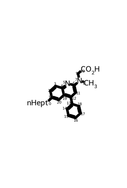 CCCCCCCc1ccc2nc(N(C)CC(=O)O)cc(-c3ccccc3)c2c1